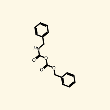 O=C(NCc1ccccc1)OC(=O)OCc1ccccc1